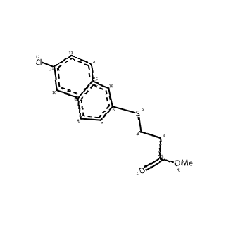 COC(=O)CCSc1ccc2cc(Cl)ccc2c1